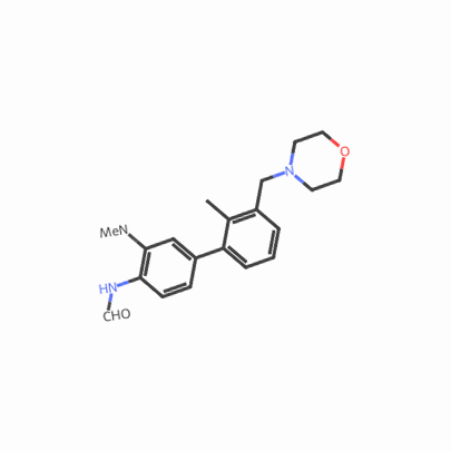 CNc1cc(-c2cccc(CN3CCOCC3)c2C)ccc1NC=O